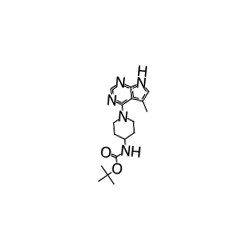 Cc1c[nH]c2ncnc(N3CCC(NC(=O)OC(C)(C)C)CC3)c12